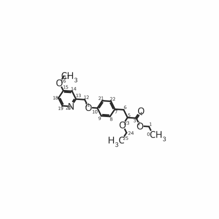 CCOC(=O)C(Cc1ccc(OCc2cc(OC)ccn2)cc1)OCC